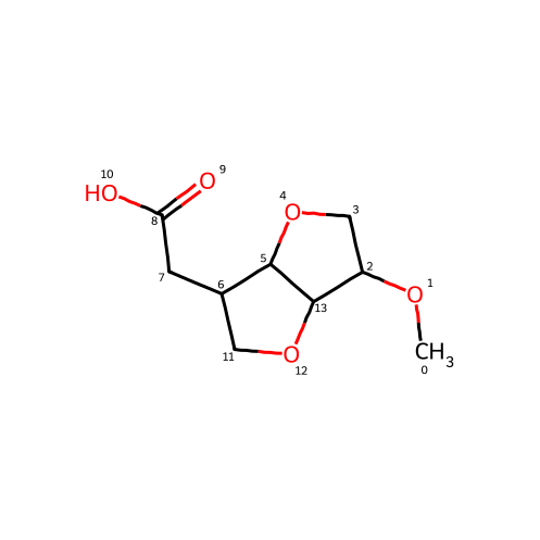 COC1COC2C(CC(=O)O)COC12